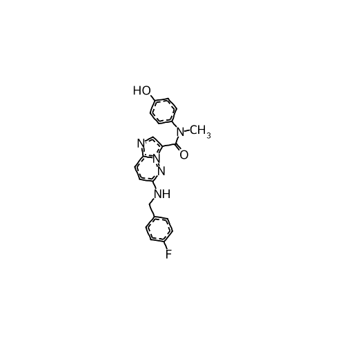 CN(C(=O)c1cnc2ccc(NCc3ccc(F)cc3)nn12)c1ccc(O)cc1